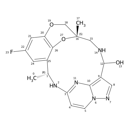 C[C@H]1Nc2ccn3ncc(c3n2)C(O)NC[C@@]2(C)COc3cc(F)cc1c3O2